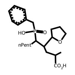 CCCCCC(C(CC(C)C(=O)O)C1CCCO1)P(=O)(O)Cc1ccccc1